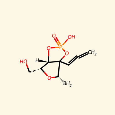 B[C@@H]1O[C@H](CO)[C@@H]2OP(=O)(O)OC12C=C=C